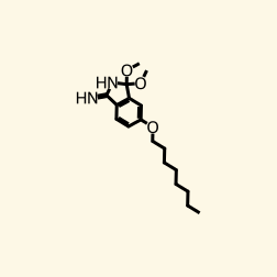 CCCCCCCCOc1ccc2c(c1)C(OC)(OC)NC2=N